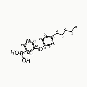 CCCCCc1ccc(Oc2cncc(B(O)O)c2)cc1